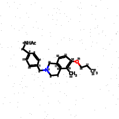 CC(=O)NCc1ccc(CN2CCc3c(ccc(OCCC(F)(F)F)c3C)C2)cc1